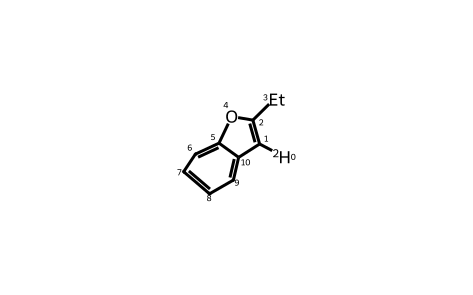 [2H]c1c(CC)oc2ccccc12